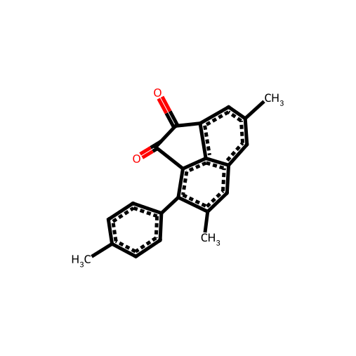 Cc1ccc(-c2c(C)cc3cc(C)cc4c3c2C(=O)C4=O)cc1